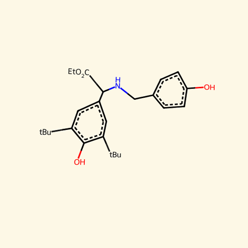 CCOC(=O)C(NCc1ccc(O)cc1)c1cc(C(C)(C)C)c(O)c(C(C)(C)C)c1